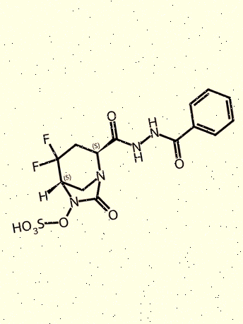 O=C(NNC(=O)[C@@H]1CC(F)(F)[C@@H]2CN1C(=O)N2OS(=O)(=O)O)c1ccccc1